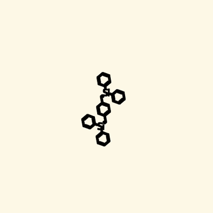 C(c1ccc(C=[Si](c2ccccc2)c2ccccc2)cc1)=[Si](c1ccccc1)c1ccccc1